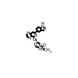 CNC(=O)N1CCO[C@H](COc2nc(-c3ccc4[nH]ncc4c3)cc3nccnc23)C1